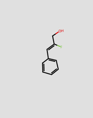 OCC(F)=Cc1ccccc1